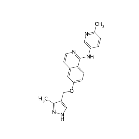 Cc1ccc(Nc2nccc3cc(OCc4c[nH]nc4C)ccc23)cn1